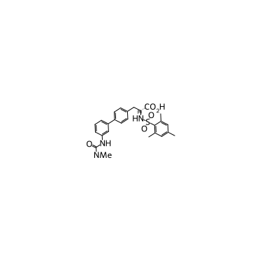 CNC(=O)Nc1cccc(-c2ccc(C[C@@H](NS(=O)(=O)c3c(C)cc(C)cc3C)C(=O)O)cc2)c1